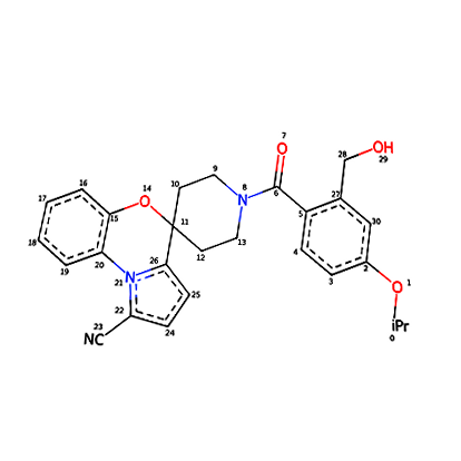 CC(C)Oc1ccc(C(=O)N2CCC3(CC2)Oc2ccccc2-n2c(C#N)ccc23)c(CO)c1